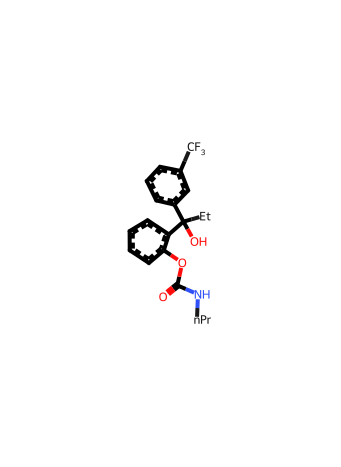 CCCNC(=O)Oc1ccccc1C(O)(CC)c1cccc(C(F)(F)F)c1